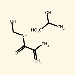 C=C(C)C(=O)NCO.CC(O)C(=O)O